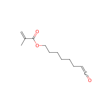 C=C(C)C(=O)OCCCCCCC=C=O